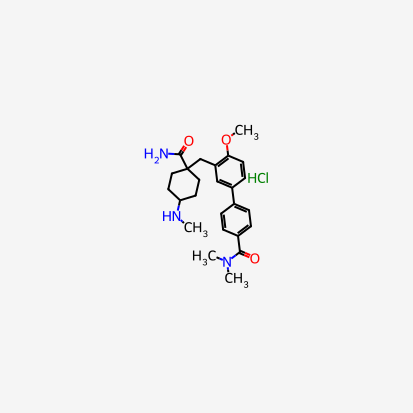 CNC1CCC(Cc2cc(-c3ccc(C(=O)N(C)C)cc3)ccc2OC)(C(N)=O)CC1.Cl